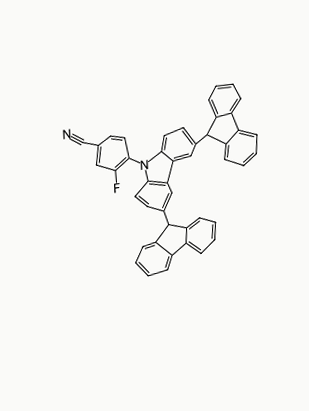 N#Cc1ccc(-n2c3ccc(C4c5ccccc5-c5ccccc54)cc3c3cc(C4c5ccccc5-c5ccccc54)ccc32)c(F)c1